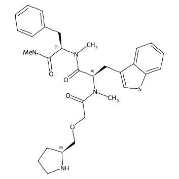 CNC(=O)[C@@H](Cc1ccccc1)N(C)C(=O)[C@@H](Cc1csc2ccccc12)N(C)C(=O)COC[C@@H]1CCCN1